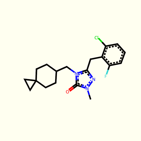 Cn1nc(Cc2c(F)cccc2Cl)n(CC2CCC3(CC2)CC3)c1=O